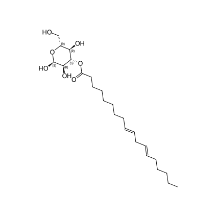 CCCCCC=CCC=CCCCCCCCC(=O)O[C@@H]1[C@@H](O)[C@@H](O)O[C@H](CO)[C@H]1O